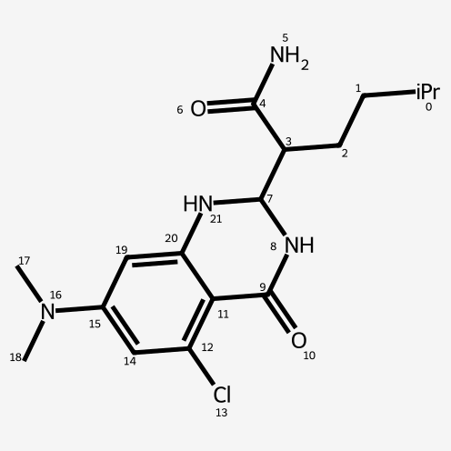 CC(C)CCC(C(N)=O)C1NC(=O)c2c(Cl)cc(N(C)C)cc2N1